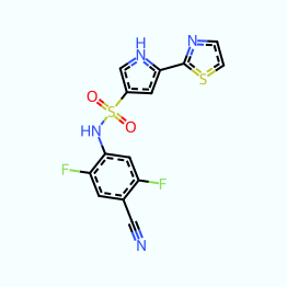 N#Cc1cc(F)c(NS(=O)(=O)c2c[nH]c(-c3nccs3)c2)cc1F